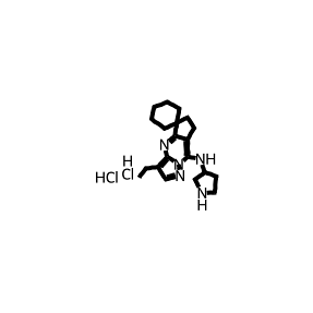 CCc1cnn2c(NC3CCNC3)c3c(nc12)C1(CCCCC1)CC3.Cl.Cl